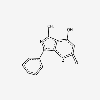 Cc1nn(-c2ccccc2)c2[nH]c(=O)cc(O)c12